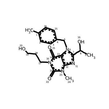 Cc1ccc(Cn2c(C(C)O)nc3c2c(=O)n(CCCO)c(=O)n3C)cc1